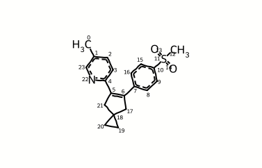 Cc1ccc(C2=C(c3ccc(S(C)(=O)=O)cc3)CC3(CC3)C2)nc1